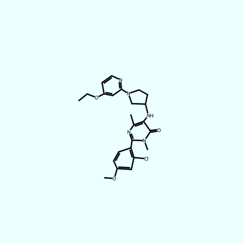 CCOc1ccnc(N2CCC(Nc3c(C)nc(-c4ccc(OC)cc4Cl)n(C)c3=O)C2)c1